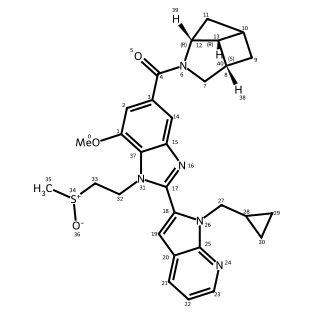 COc1cc(C(=O)N2C[C@H]3CC4C[C@@H]2[C@H]43)cc2nc(-c3cc4cccnc4n3CC3CC3)n(CC[S+](C)[O-])c12